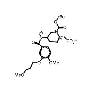 COCCCOc1cc(C(=O)N(C(C)C)C2CC[C@@H](CC(=O)O)N(C(=O)OC(C)(C)C)C2)ccc1OC